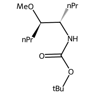 CCC[C@H](NC(=O)OC(C)(C)C)[C@@H](CCC)OC